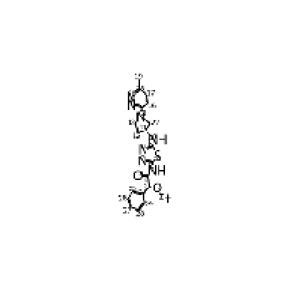 CCO[C@@H](C(=O)Nc1nnc(N[C@@H]2CCN(c3ccc(C)nn3)C2)s1)c1ccccc1